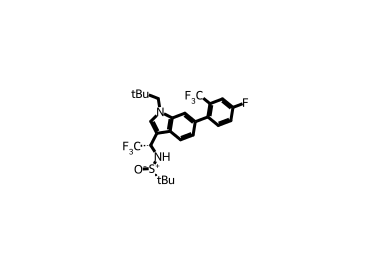 CC(C)(C)Cn1cc([C@H](N[S@@+]([O-])C(C)(C)C)C(F)(F)F)c2ccc(-c3ccc(F)cc3C(F)(F)F)cc21